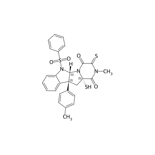 Cc1ccc([C@]23C[C@]4(S)C(=O)N(C)C(=S)C(=O)N4[C@H]2N(S(=O)(=O)c2ccccc2)c2ccccc23)cc1